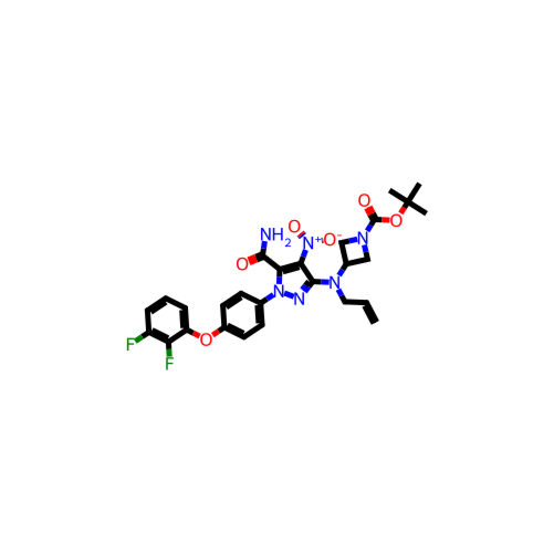 C=CCN(c1nn(-c2ccc(Oc3cccc(F)c3F)cc2)c(C(N)=O)c1[N+](=O)[O-])C1CN(C(=O)OC(C)(C)C)C1